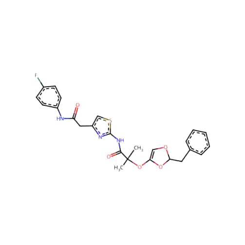 CC(C)(OC1=COC(Cc2ccccc2)O1)C(=O)Nc1nc(CC(=O)Nc2ccc(F)cc2)cs1